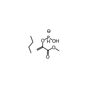 C=C(O[PH](=O)O)C(=O)OC.CCCC